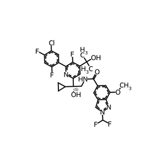 COc1cc(C(=O)NC[C@](O)(c2cc(C(C)(C)O)c(F)c(-c3cc(Cl)c(F)cc3F)n2)C2CC2)cc2cn(C(F)F)nc12